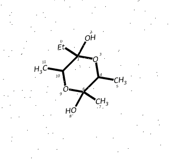 CCC1(O)OC(C)C(C)(O)OC1C